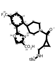 CC(C)(C)NCC1CC1C(=O)N1CCC(c2ccc(C(F)(F)F)cc2-c2nc(C(=O)O)co2)CC1